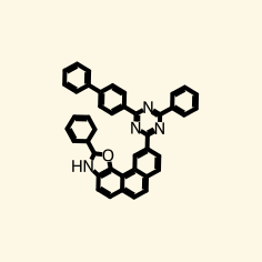 C1=CCC(C2Nc3ccc4ccc5ccc(-c6nc(-c7ccccc7)nc(-c7ccc(-c8ccccc8)cc7)n6)cc5c4c3O2)C=C1